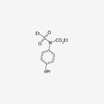 CCCc1ccc(N(C(=O)OCC)S(=O)(=O)CC)cc1